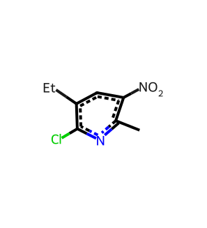 CCc1cc([N+](=O)[O-])c(C)nc1Cl